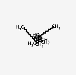 CCCCCCCCCCCc1cc2c(cc1O)C1(CC2(C)C)CC(C)(C)c2cc(CCCCCCCCCCC)c(O)cc21